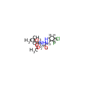 COC[C@@H](NC(=O)OC(C)(C)C)C(=O)NCc1cccc(Cl)c1F